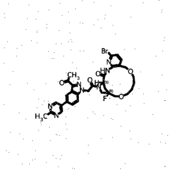 CC(=O)c1nn(CC(=O)N2C[C@@]3(F)COCCCCOCc4ccc(Br)nc4NC(=O)[C@@H]2C3)c2ccc(-c3cnc(C)nc3)cc12